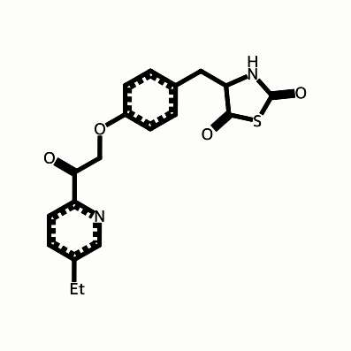 CCc1ccc(C(=O)COc2ccc(CC3NC(=O)SC3=O)cc2)nc1